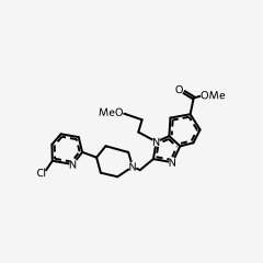 COCCn1c(CN2CCC(c3cccc(Cl)n3)CC2)nc2ccc(C(=O)OC)cc21